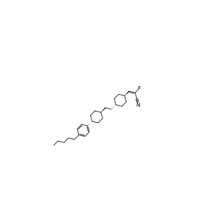 CCCCCc1ccc([C@H]2CC[C@H](CC[C@H]3CC[C@H](/C=C(/F)C#N)CC3)CC2)cc1